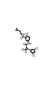 O=C(N/N=C/C1CC1)c1cc(NC(=O)C2C(c3cc(Cl)cc(Cl)c3)C2(Cl)Cl)ccc1Cl